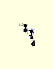 COc1cc(F)cc(-c2cccc3[nH]c(-c4n[nH]c5cnc(-c6cncc(CNCc7ccccc7)c6)cc45)nc23)c1